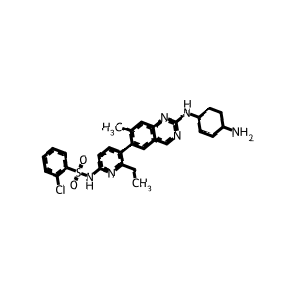 CCc1nc(NS(=O)(=O)c2ccccc2Cl)ccc1-c1cc2cnc(NC3CCC(N)CC3)nc2cc1C